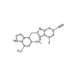 Cc1cc(C)c2[nH]ccc2c1Cc1nc2cc(C#N)cc(F)c2[nH]1